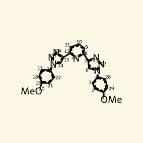 COc1ccc(-n2cc(-c3cccc(-c4cn(-c5ccc(OC)cc5)nn4)n3)nn2)cc1